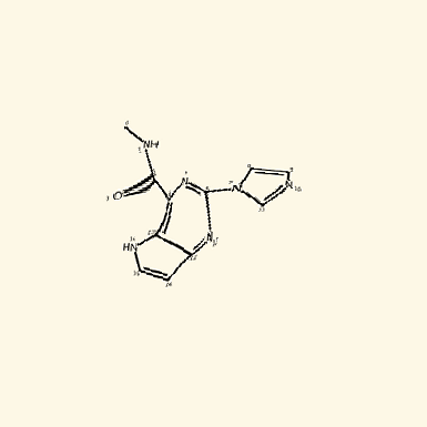 CNC(=O)c1nc(-n2ccnc2)nc2cc[nH]c12